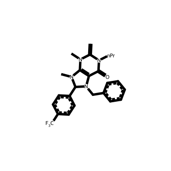 C=C1N(C)C2=C(C(=O)N1CCC)N(Cc1ccccc1)C(c1ccc(C(F)(F)F)cc1)N2C